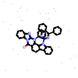 O=c1c2ccc3c4ccccc4n(-c4nc(-c5ccccc5)c5ccccc5n4)c3c2n(-c2ccccc2)c2nc3ccccc3n12